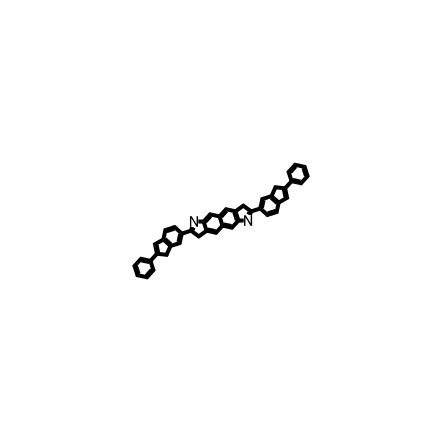 C1=C(c2ccccc2)Cc2cc(C3=Nc4cc5cc6c(cc5cc4C3)N=C(c3ccc4c(c3)CC(c3ccccc3)=C4)C6)ccc21